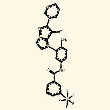 Cc1ccc(NC(=O)c2cccc(S(F)(F)(F)(F)F)c2)cc1-n1ccn2nc(-c3cccnc3)c(F)c12